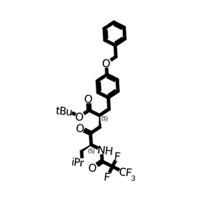 CC(C)C[C@H](NC(=O)C(F)(F)C(F)(F)F)C(=O)C[C@H](Cc1ccc(OCc2ccccc2)cc1)C(=O)OC(C)(C)C